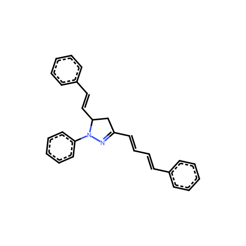 C(C=Cc1ccccc1)=CC1=NN(c2ccccc2)C(C=Cc2ccccc2)C1